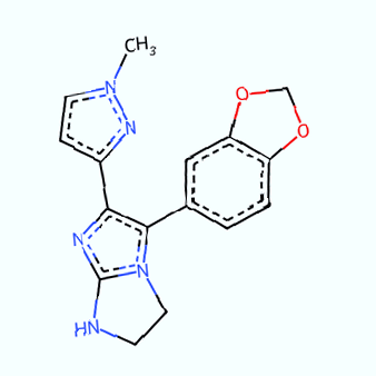 Cn1ccc(-c2nc3n(c2-c2ccc4c(c2)OCO4)CCN3)n1